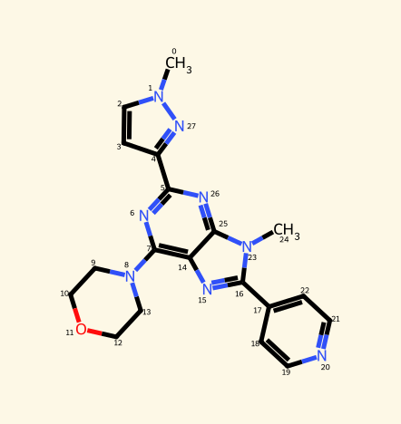 Cn1ccc(-c2nc(N3CCOCC3)c3nc(-c4ccncc4)n(C)c3n2)n1